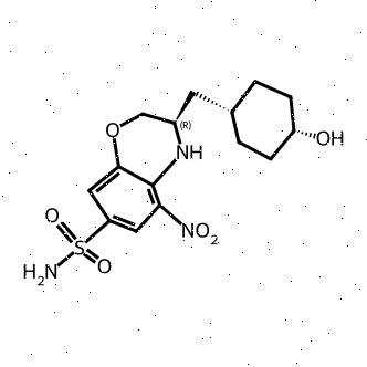 NS(=O)(=O)c1cc2c(c([N+](=O)[O-])c1)N[C@H](C[C@H]1CC[C@@H](O)CC1)CO2